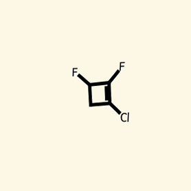 FC1=C(Cl)CC1F